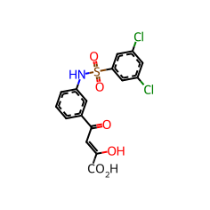 O=C(O)C(O)=CC(=O)c1cccc(NS(=O)(=O)c2cc(Cl)cc(Cl)c2)c1